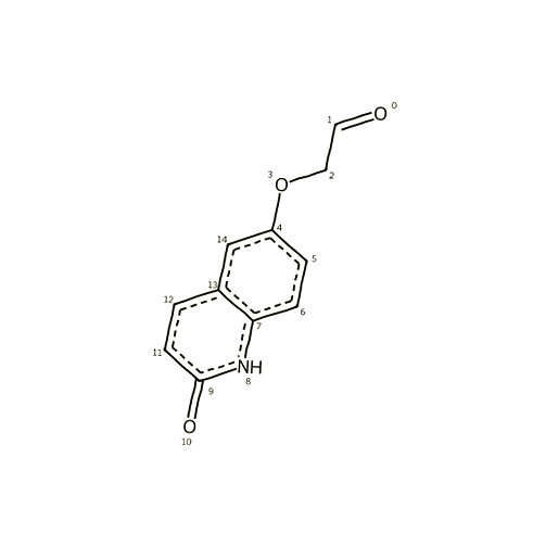 O=CCOc1ccc2[nH]c(=O)ccc2c1